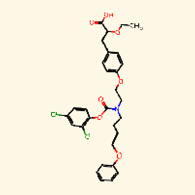 CCOC(Cc1ccc(OCCN(CCCCOc2ccccc2)C(=O)Oc2ccc(Cl)cc2Cl)cc1)C(=O)O